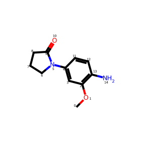 COc1cc(N2CCCC2=O)ccc1N